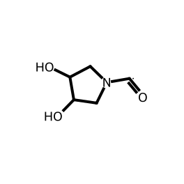 O=[C]N1CC(O)C(O)C1